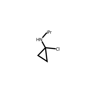 CC(C)NC1(Cl)CC1